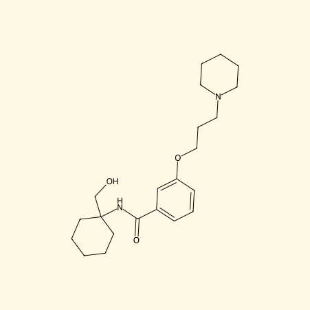 O=C(NC1(CO)CCCCC1)c1cccc(OCCCN2CCCCC2)c1